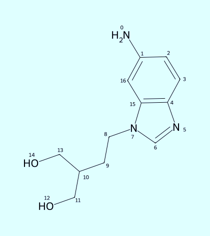 Nc1ccc2ncn(CCC(CO)CO)c2c1